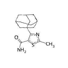 Cc1nc(C23CC4CC(CC(C4)C2)C3)c(C(N)=O)s1